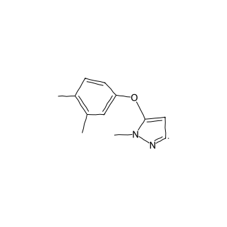 Cc1ccc(Oc2c[c]nn2C)cc1C